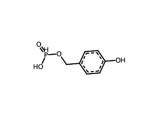 O=[PH](O)OCc1ccc(O)cc1